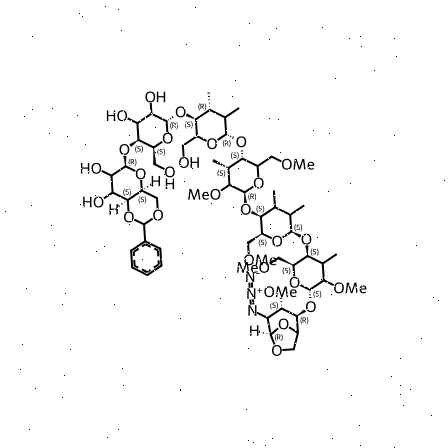 COCC1O[C@@H](O[C@H]2C(C)C(C)[C@@H](O[C@H]3C(C)C(OC)[C@H](O[C@H]4C5CO[C@H](O5)C(N=[N+]=[N-])[C@@H]4OC)O[C@H]3COC)O[C@H]2COC)C(OC)[C@@H](C)[C@@H]1O[C@@H]1OC(CO)[C@@H](O[C@@H]2O[C@@H](CO)[C@@H](O[C@H]3O[C@H]4COC(c5ccccc5)O[C@H]4C(O)C3O)C(O)C2O)[C@H](C)C1C